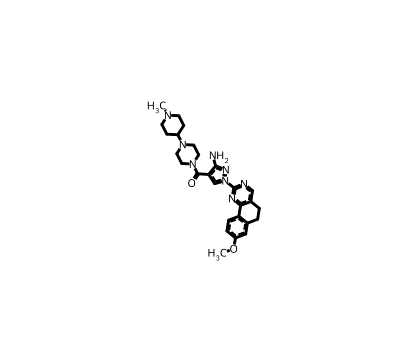 COc1ccc2c(c1)CCc1cnc(-n3cc(C(=O)N4CCN(C5CCN(C)CC5)CC4)c(N)n3)nc1-2